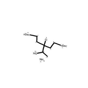 CCCCCCCCCCCCC(Cl)(CCCCCCCCCCCC)C(C)O.N